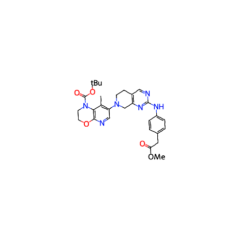 COC(=O)Cc1ccc(Nc2ncc3c(n2)CN(c2cnc4c(c2C)N(C(=O)OC(C)(C)C)CCO4)CC3)cc1